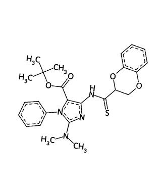 CN(C)c1nc(NC(=S)C2COc3ccccc3O2)c(C(=O)OC(C)(C)C)n1-c1ccccc1